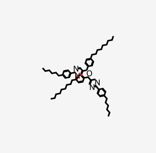 CCCCCCCCCc1ccc(C(OC(c2ccc(CCCCCCCCC)cc2)c2cnc(-c3ccc(CCCCCC)cc3)nc2)c2cnc(-c3ccc(CCCCCC)cc3)nc2)cc1